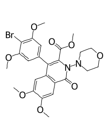 COC(=O)c1c(-c2cc(OC)c(Br)c(OC)c2)c2cc(OC)c(OC)cc2c(=O)n1N1CCOCC1